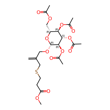 C=C(CO[C@@H]1O[C@H](COC(C)=O)[C@@H](OC(C)=O)[C@H](OC(C)=O)[C@H]1OC(C)=O)CSCCC(=O)OC